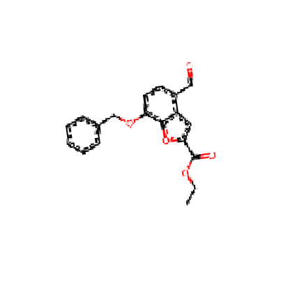 CCOC(=O)c1cc2c(C=O)ccc(OCc3ccccc3)c2o1